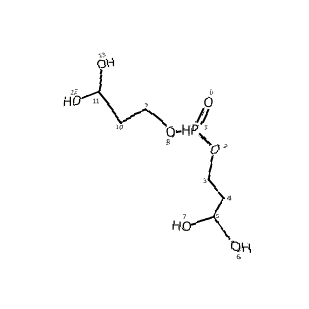 O=[PH](OCCC(O)O)OCCC(O)O